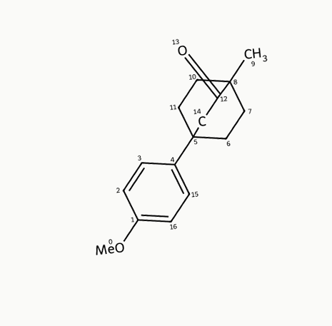 COc1ccc(C23CCC(C)(CC2)C(=O)C3)cc1